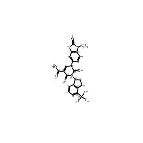 Cn1c(=O)sc2cc(-n3cc(C(=O)O)c(=O)n(C4CCc5c4cccc5C(F)(F)F)c3=O)ccc21